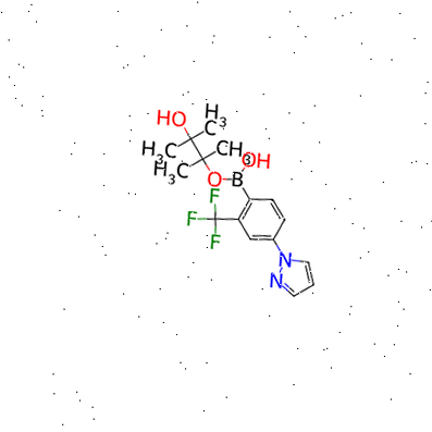 CC(C)(O)C(C)(C)OB(O)c1ccc(-n2cccn2)cc1C(F)(F)F